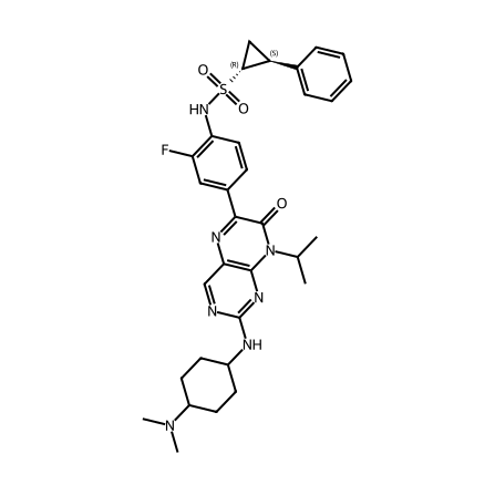 CC(C)n1c(=O)c(-c2ccc(NS(=O)(=O)[C@@H]3C[C@H]3c3ccccc3)c(F)c2)nc2cnc(NC3CCC(N(C)C)CC3)nc21